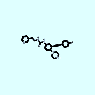 O=C(NCCc1cccnc1)Nc1ccc(N2CCNCC2)c(C#Cc2ccc(F)cc2)c1